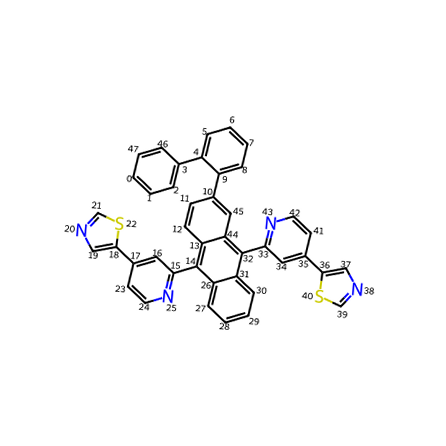 c1ccc(-c2ccccc2-c2ccc3c(-c4cc(-c5cncs5)ccn4)c4ccccc4c(-c4cc(-c5cncs5)ccn4)c3c2)cc1